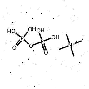 C[N+](C)(C)C.O=P(O)(O)OP(=O)(O)O